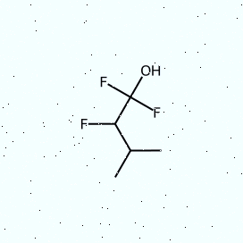 CC(C)C(F)C(O)(F)F